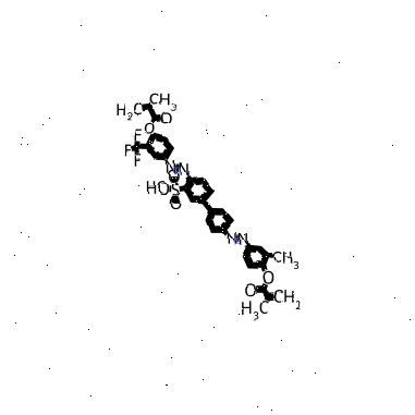 C=C(C)C(=O)Oc1ccc(/N=N/c2ccc(-c3ccc(/N=N/c4ccc(OC(=O)C(=C)C)c(C(F)(F)F)c4)c(S(=O)(=O)O)c3)cc2)cc1C